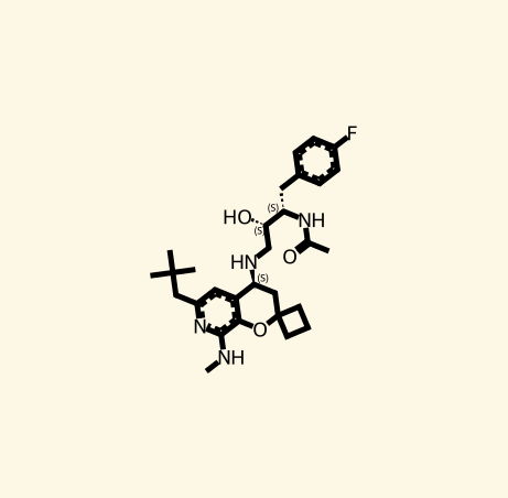 CNc1nc(CC(C)(C)C)cc2c1OC1(CCC1)C[C@@H]2NC[C@H](O)[C@H](Cc1ccc(F)cc1)NC(C)=O